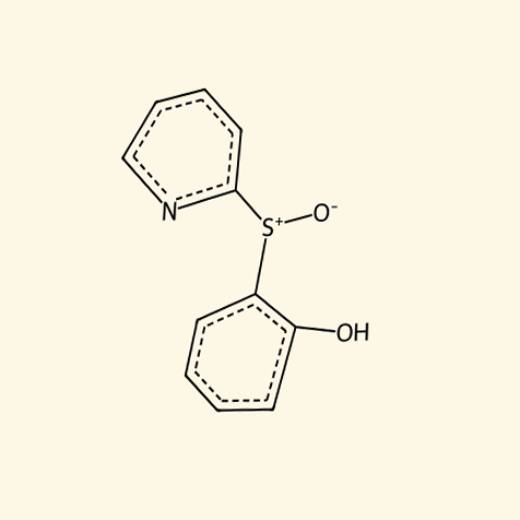 [O-][S+](c1ccccn1)c1ccccc1O